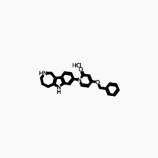 Cl.O=c1cc(OCc2ccccc2)ccn1-c1ccc2c3c([nH]c2c1)CCCNC3